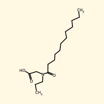 CCCCCCCCCCCC(=O)N(CCC)CC(=O)O